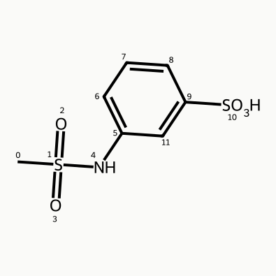 CS(=O)(=O)Nc1cccc(S(=O)(=O)O)c1